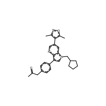 CC(=O)Cc1ccc(-c2cn(CC3CCCC3)c3cc(-c4c(C)noc4C)cnc23)cc1